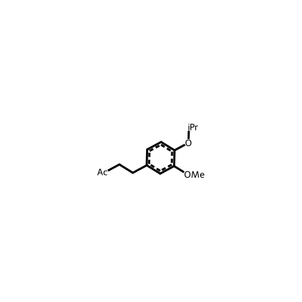 COc1cc(CCC(C)=O)ccc1OC(C)C